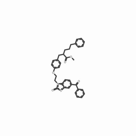 COC(=O)C(CCCc1ccccc1)Cc1ccc(OCCn2c(=O)sc3cc(C(=O)c4ccccc4)ccc32)cc1